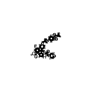 COC(=O)N[C@H]1CCC[C@@H]1C(CNC(=O)CN1CCOCC1)(c1cccc(F)c1)C1CCN(CC2CN(c3ccc(S(=O)(=O)C4CC4)cc3)C2)CC1